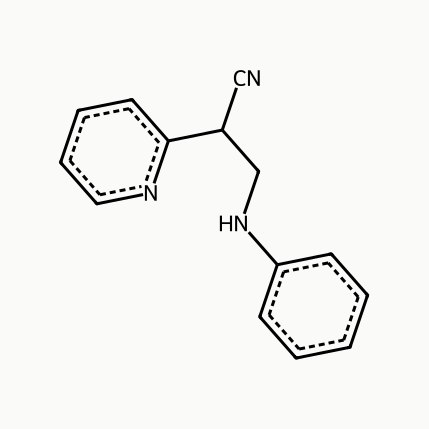 N#CC(CNc1ccccc1)c1ccccn1